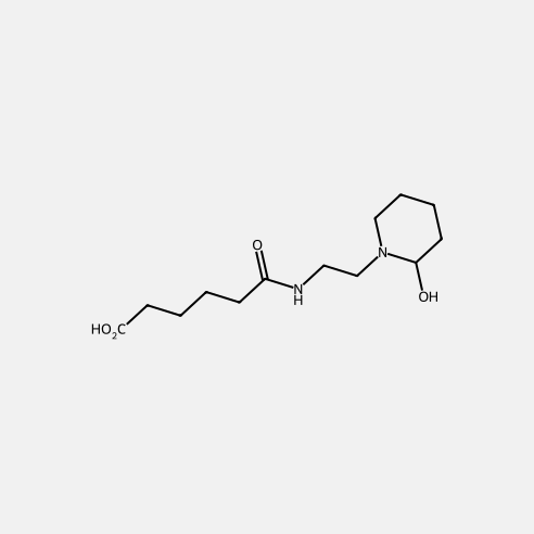 O=C(O)CCCCC(=O)NCCN1CCCCC1O